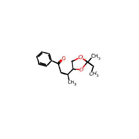 CCC1(C)OCC(C(C)CC(=O)c2ccccc2)O1